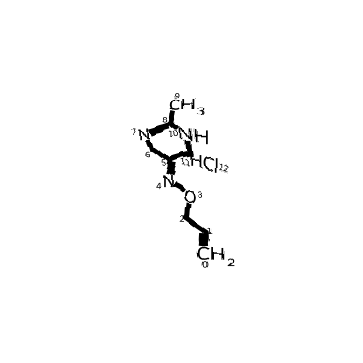 C=CCO/N=C1/CN=C(C)NC1.Cl